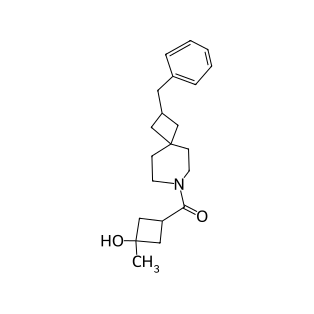 CC1(O)CC(C(=O)N2CCC3(CC2)CC(Cc2ccccc2)C3)C1